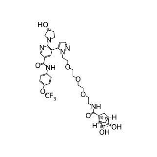 O=C(Nc1ccc(OC(F)(F)F)cc1)c1cnc(N2CC[C@@H](O)C2)c(-c2ccnn2CCOCCOCCOCCNC(=O)[C@H]2C[C@@H]3C[C@H]2[C@@H](O)[C@H]3O)c1